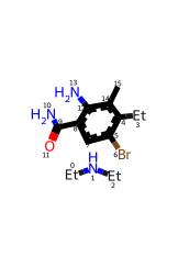 CCNCC.CCc1c(Br)cc(C(N)=O)c(N)c1C